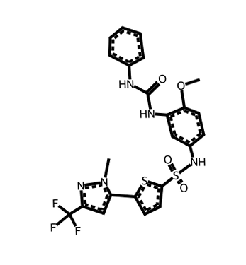 COc1ccc(NS(=O)(=O)c2ccc(-c3cc(C(F)(F)F)nn3C)s2)cc1NC(=O)Nc1ccccc1